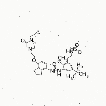 COc1c(CCN[SH](=O)=O)cc(C(C)(C)C)cc1NC(=O)Nc1ccc(OCCN2CCN(CC3CC3)C(=O)C2)c2c1CCC2